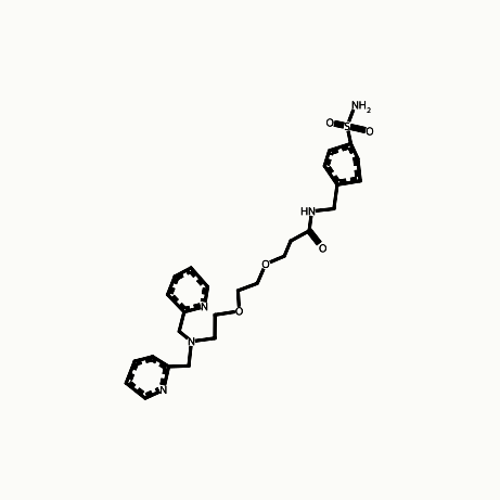 NS(=O)(=O)c1ccc(CNC(=O)CCOCCOCCN(Cc2ccccn2)Cc2ccccn2)cc1